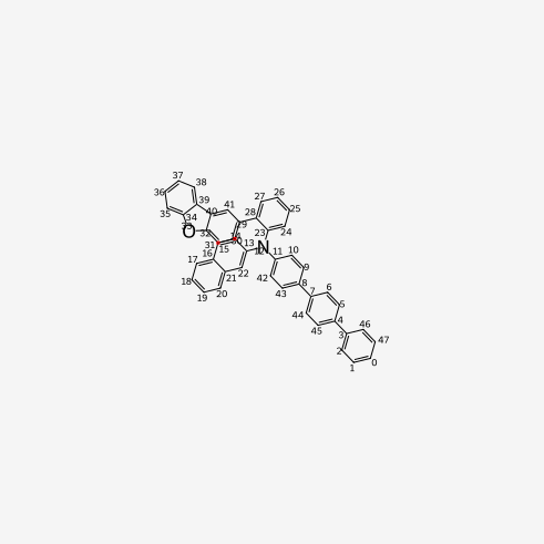 c1ccc(-c2ccc(-c3ccc(N(c4ccc5ccccc5c4)c4ccccc4-c4ccc5oc6ccccc6c5c4)cc3)cc2)cc1